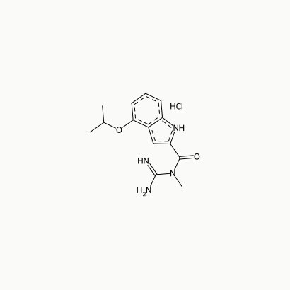 CC(C)Oc1cccc2[nH]c(C(=O)N(C)C(=N)N)cc12.Cl